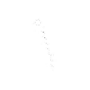 [SiH3]N[SiH2]N[SiH2]N[SiH2]N[SiH2]N[SiH2]N[SiH2]N[SiH2]Cc1ccccc1